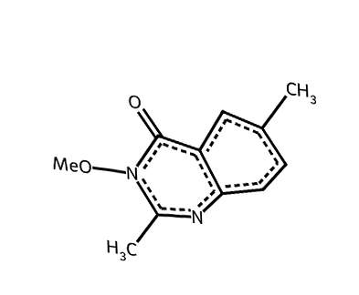 COn1c(C)nc2ccc(C)cc2c1=O